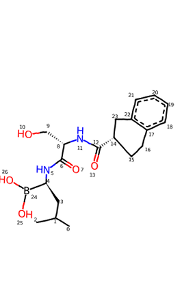 CC(C)C[C@H](NC(=O)[C@H](CO)NC(=O)[C@H]1CCc2ccccc2C1)B(O)O